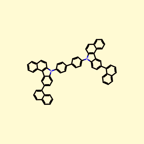 c1ccc2c(-c3ccc4c(c3)c3c5ccccc5ccc3n4-c3ccc(-c4ccc(-n5c6ccc(-c7cccc8ccccc78)cc6c6c7ccccc7ccc65)cc4)cc3)cccc2c1